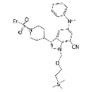 CCS(=O)(=O)N1CCC(c2cn(COCC[Si](C)(C)C)c3c(C#N)cc(N(C)c4ccccc4)cc23)CC1